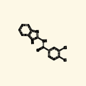 O=C(Nc1nc2ccccc2[nH]1)c1ccc(Cl)c(Cl)c1